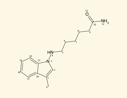 Cc1cn(NCCCCCC(N)=O)c2ccccc12